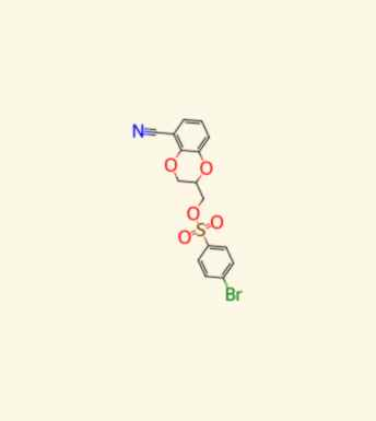 N#Cc1cccc2c1OCC(COS(=O)(=O)c1ccc(Br)cc1)O2